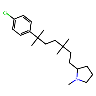 CN1CCCC1CCC(C)(C)CCC(C)(C)c1ccc(Cl)cc1